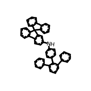 c1ccc(-c2cccc(-c3ccccc3)c2-c2ccc(Nc3ccc4c(c3)C3(c5ccccc5-c5ccccc53)c3ccccc3-4)cc2)cc1